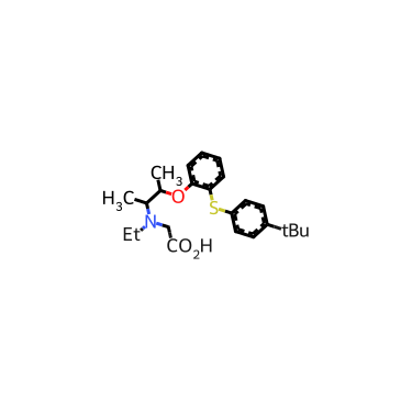 CCN(CC(=O)O)C(C)C(C)Oc1ccccc1Sc1ccc(C(C)(C)C)cc1